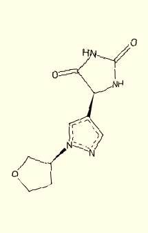 O=C1NC(=O)[C@H](c2cnn([C@H]3CCOC3)c2)N1